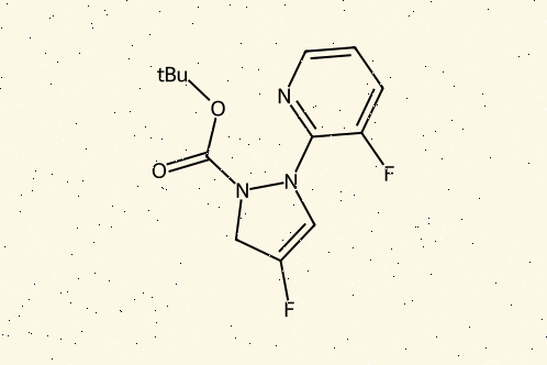 CC(C)(C)OC(=O)N1CC(F)=CN1c1ncccc1F